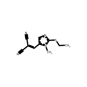 CCSc1ncc(C=C(C#N)C#N)n1C